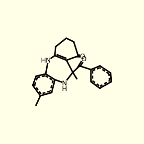 Cc1ccc2c(c1)NC(C)(C(=O)c1ccccc1)C1=C(CCCC1=O)N2